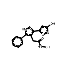 O=C(Cc1c(-c2cc(O)no2)n[nH]c1-c1ccccc1)NO